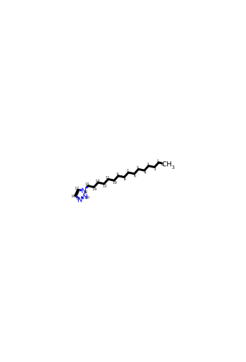 CCCCCCCCCCCCCCCCn1ccnn1